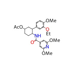 CCOc1cc(C2CC(OC(C)=O)CCC2NC(=O)c2cc(OC)nc(OC)c2)ccc1OC